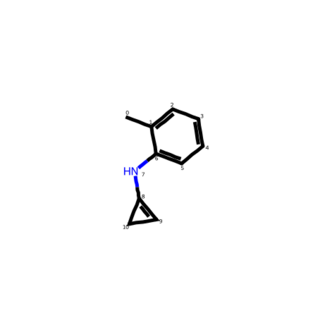 Cc1ccccc1NC1=CC1